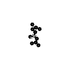 c1ccc(-c2cc(-c3ccccc3)cc(-c3cccc(-c4nc(-c5cccc(-c6cccc7c6c6cc(-c8ccccc8)ccc6n7-c6ccccc6)c5)nc(-c5ccccn5)n4)c3)c2)cc1